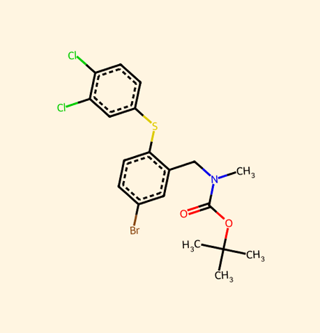 CN(Cc1cc(Br)ccc1Sc1ccc(Cl)c(Cl)c1)C(=O)OC(C)(C)C